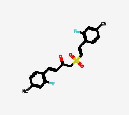 N#Cc1ccc(C=CC(=O)CS(=O)(=O)C=Cc2ccc(C#N)cc2F)c(F)c1